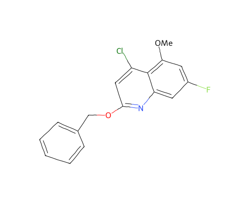 COc1cc(F)cc2nc(OCc3ccccc3)cc(Cl)c12